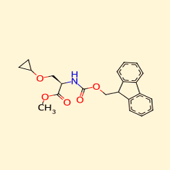 COC(=O)[C@@H](COC1CC1)NC(=O)OCC1c2ccccc2-c2ccccc21